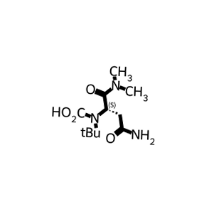 CN(C)C(=O)[C@H](CC(N)=O)N(C(=O)O)C(C)(C)C